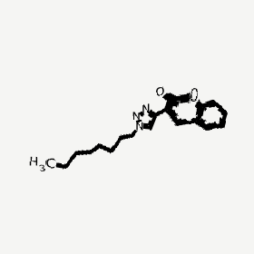 CCCCCCCCn1cc(-c2cc3ccccc3oc2=O)nn1